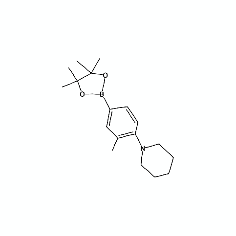 Cc1cc(B2OC(C)(C)C(C)(C)O2)ccc1N1CCCCC1